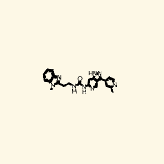 Cc1cc(-c2n[nH]c3cc(NC(=O)NCCc4nc5ccccc5n4C)ncc23)ccn1